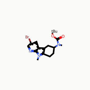 CN(C(=O)OC(C)(C)C)C1CCc2c(c3cc(Br)cnc3n2C)C1